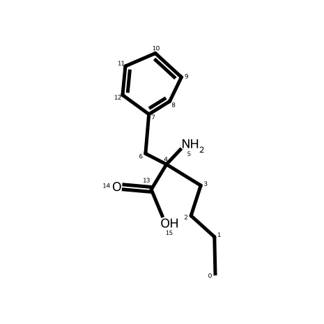 CCCCC(N)(Cc1ccccc1)C(=O)O